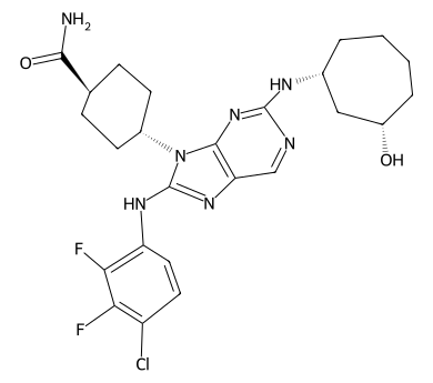 NC(=O)[C@H]1CC[C@H](n2c(Nc3ccc(Cl)c(F)c3F)nc3cnc(N[C@@H]4CCCC[C@H](O)C4)nc32)CC1